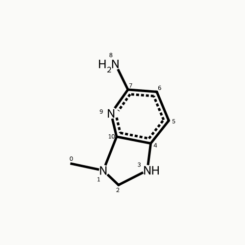 CN1CNc2ccc(N)nc21